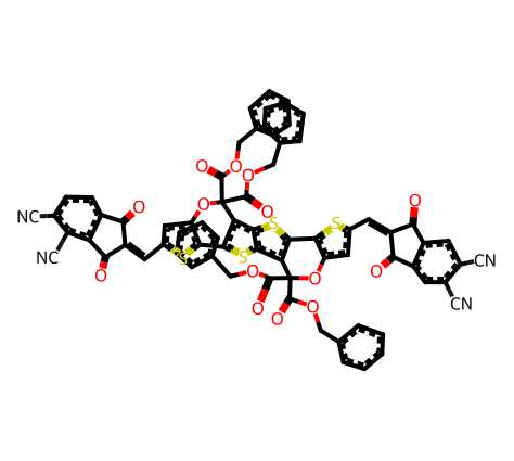 N#Cc1cc2c(cc1C#N)C(=O)C(=Cc1cc3c(s1)-c1sc4c5c(sc4c1C(C(=O)OCc1ccccc1)(C(=O)OCc1ccccc1)O3)-c1sc(/C=C3\C(=O)c4ccc(C#N)c(C#N)c4C3=O)cc1OC5(C(=O)OCc1ccccc1)C(=O)OCc1ccccc1)C2=O